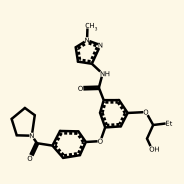 CCC(CO)Oc1cc(Oc2ccc(C(=O)N3CCCC3)cc2)cc(C(=O)Nc2ccn(C)n2)c1